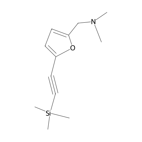 CN(C)Cc1ccc(C#C[Si](C)(C)C)o1